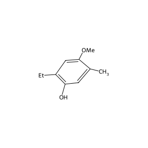 CCc1cc(OC)c(C)cc1O